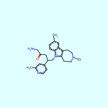 CCN1CCc2c(n(CC(CC(=O)CN)c3ccnc(C)c3)c3ccc(C)cc23)CC1